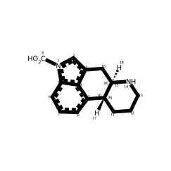 O=C(O)n1cc2c3c(cccc31)[C@H]1CCCN[C@@H]1C2